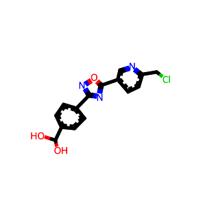 OC(O)c1ccc(-c2noc(-c3ccc(CCl)nc3)n2)cc1